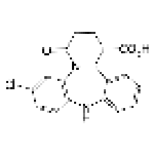 O=C(O)C1CCC(=O)N2c3cc(Cl)ccc3Nc3ccccc3C12